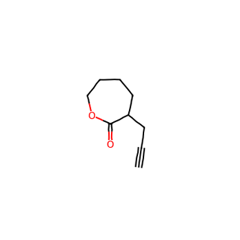 C#CCC1CCCCOC1=O